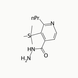 CCCc1nccc(C(=O)NN)c1[Si](C)(C)C